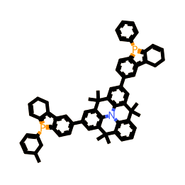 CC1C=CC=C(p2c3c(c4cc(-c5cc6c7c(c5)C(C)(C)c5cc(-c8ccc9c(c8)c8c(p9-c9ccccc9)C=CCC8)cc8c5N7c5c(cccc5C8(C)C)C6(C)C)ccc42)CCC=C3)C1